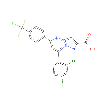 O=C(O)c1cc2nc(-c3ccc(C(F)(F)F)cc3)cc(-c3ccc(Cl)cc3Cl)n2n1